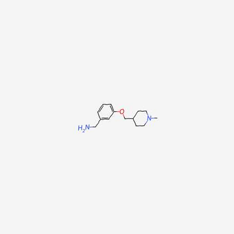 CN1CCC(COc2cccc(CN)c2)CC1